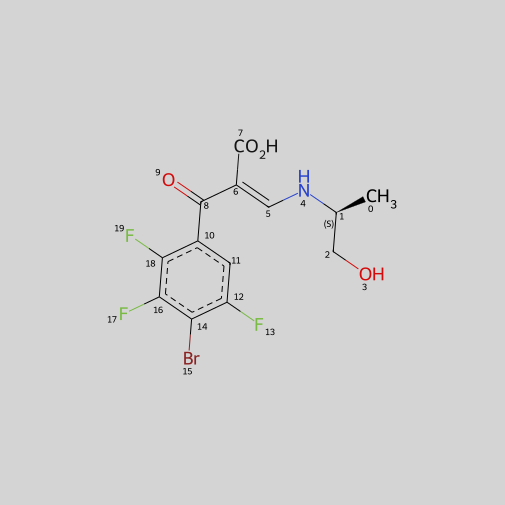 C[C@@H](CO)NC=C(C(=O)O)C(=O)c1cc(F)c(Br)c(F)c1F